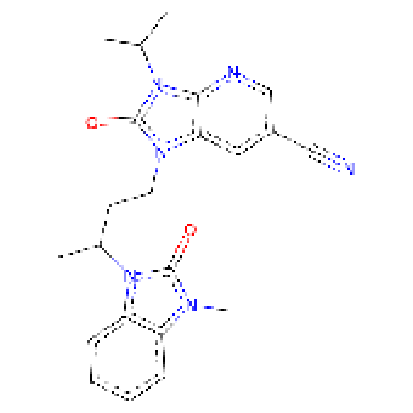 CC(C)n1c(=O)n(CCC(C)n2c(=O)n(C)c3ccccc32)c2cc(C#N)cnc21